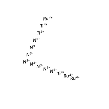 [N-3].[N-3].[N-3].[N-3].[N-3].[N-3].[N-3].[N-3].[Ru+4].[Ru+4].[Ru+4].[Ti+4].[Ti+4].[Ti+4]